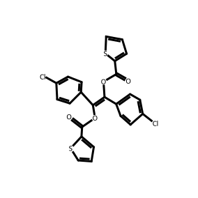 O=C(O/C(=C(/OC(=O)c1cccs1)c1ccc(Cl)cc1)c1ccc(Cl)cc1)c1cccs1